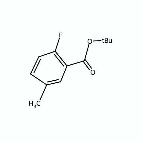 Cc1ccc(F)c(C(=O)OC(C)(C)C)c1